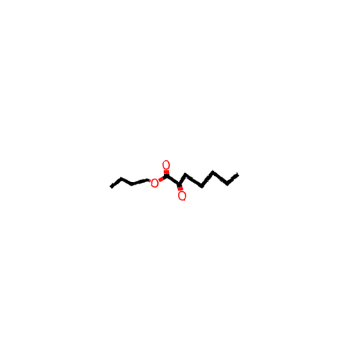 CCCCCC(=O)C(=O)OCCCC